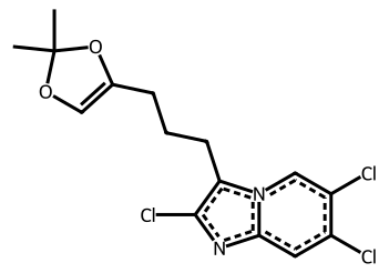 CC1(C)OC=C(CCCc2c(Cl)nc3cc(Cl)c(Cl)cn23)O1